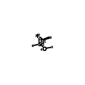 C=CF.CO[SiH2]C